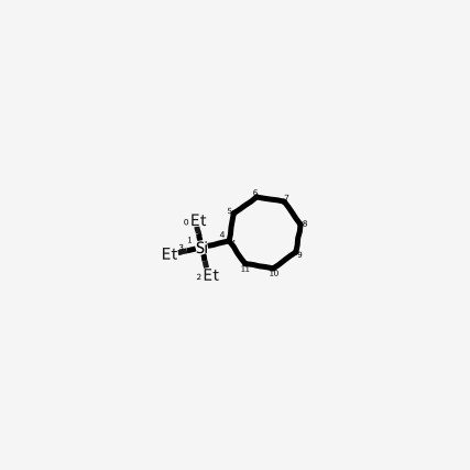 CC[Si](CC)(CC)[C]1CCCCCCC1